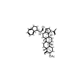 C=C(C)[C@@H]1CC[C@]2(C(=O)NC3CCc4ccccc43)CC[C@]3(C)[C@H](CC[C@@H]4[C@@]5(C)CC[C@H](OC(C)=O)C(=C)[C@@H]5CC[C@]43C)[C@@H]12